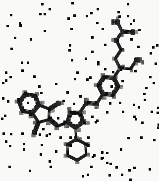 CCN(CCOS(=O)O)c1ccc(/N=N/c2nc(N3CCCCC3)c(C=C3C(=O)c4ccccc4C3=O)s2)cc1